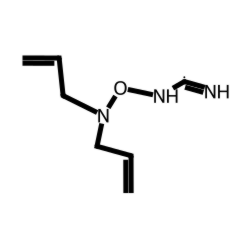 C=CCN(CC=C)ON[C]=N